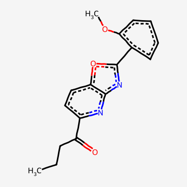 CCCC(=O)c1ccc2oc(-c3ccccc3OC)nc2n1